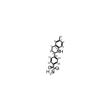 Cc1ccc2c(c1)CCC(c1ccc(S(N)(=O)=O)cc1)N2